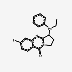 CC[As](c1ccccc1)C1CCn2c1nc1cc(F)ccc1c2=O